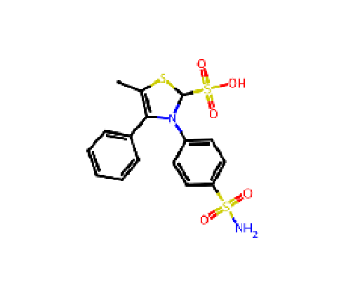 CC1=C(c2ccccc2)N(c2ccc(S(N)(=O)=O)cc2)C(S(=O)(=O)O)S1